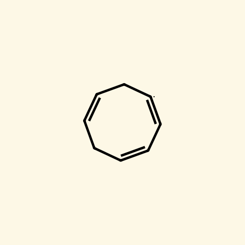 [C]1=CC=CCC=CC1